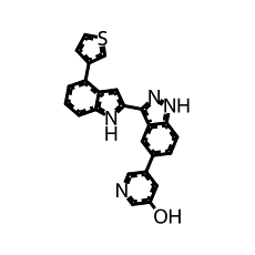 Oc1cncc(-c2ccc3[nH]nc(-c4cc5c(-c6ccsc6)cccc5[nH]4)c3c2)c1